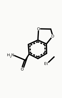 CCC.NC(=O)c1ccc2c(c1)OCO2